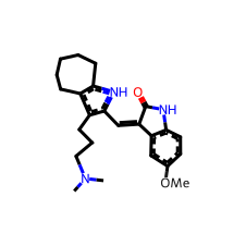 COc1ccc2c(c1)/C(=C/c1[nH]c3c(c1CCCN(C)C)CCCCC3)C(=O)N2